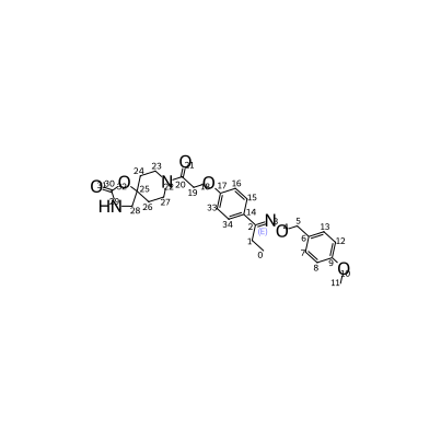 CC/C(=N\OCc1ccc(OC)cc1)c1ccc(OCC(=O)N2CCC3(CC2)CNC(=O)O3)cc1